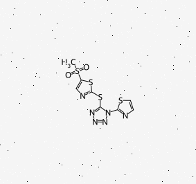 CS(=O)(=O)c1cnc(Sc2nnnn2-c2nccs2)s1